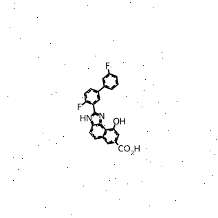 O=C(O)c1cc(O)c2c(ccc3[nH]c(-c4cc(-c5cccc(F)c5)ccc4F)nc32)c1